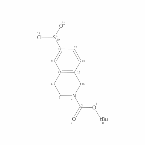 CC(C)(C)OC(=O)N1CCc2cc([S+]([O-])Cl)ccc2C1